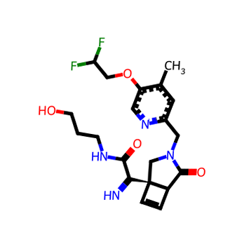 Cc1cc(CN2C[C@@]3(C(=N)C(=O)NCCCO)C=CC3C2=O)ncc1OCC(F)F